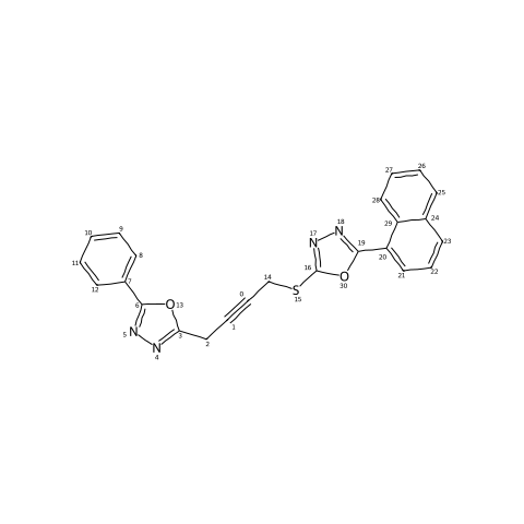 C(#CCc1nnc(-c2ccccc2)o1)CSc1nnc(-c2cccc3ccccc23)o1